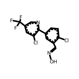 ON=Cc1cc(-c2ncc(C(F)(F)F)cc2Cl)ccc1Cl